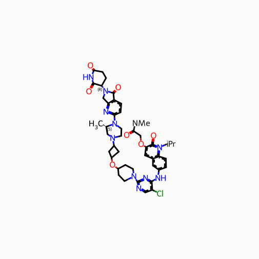 CNC(=O)COc1cc2cc(Nc3nc(N4CCC(OC5CC(N6CCN(c7ccc8c(n7)CN([C@@H]7CCC(=O)NC7=O)C8=O)[C@@H](C)C6)C5)CC4)ncc3Cl)ccc2n(C(C)C)c1=O